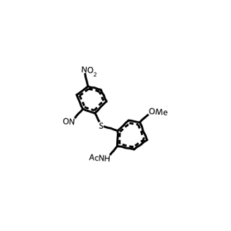 COc1ccc(NC(C)=O)c(Sc2ccc([N+](=O)[O-])cc2N=O)c1